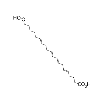 O=C(O)CCCC=CCC=CC=CCCC=CCCCCCOO